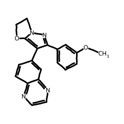 COc1cccc(-c2nn3c(c2-c2ccc4nccnc4c2)OCC3)c1